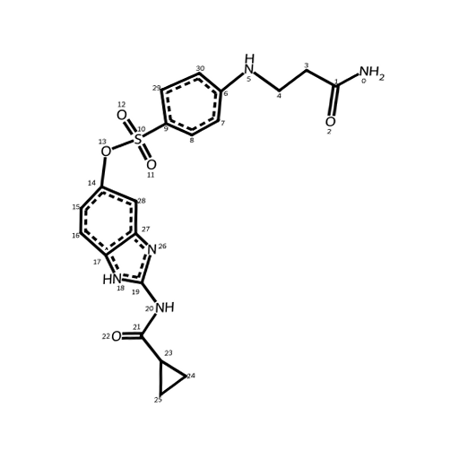 NC(=O)CCNc1ccc(S(=O)(=O)Oc2ccc3[nH]c(NC(=O)C4CC4)nc3c2)cc1